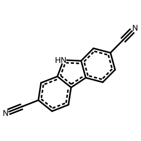 N#Cc1ccc2c(c1)[nH]c1cc(C#N)ccc12